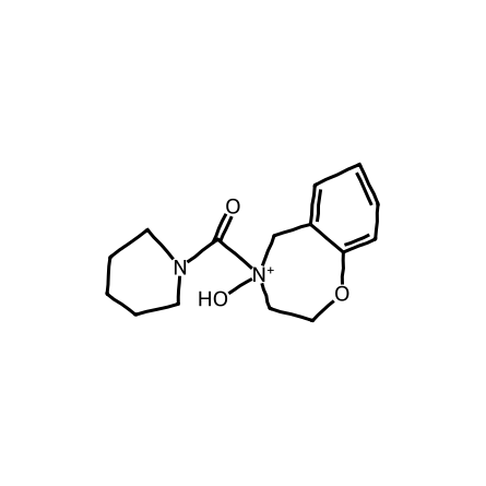 O=C(N1CCCCC1)[N+]1(O)CCOc2ccccc2C1